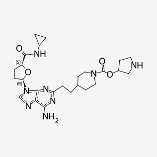 Nc1nc(CCC2CCN(C(=O)OC3CCNC3)CC2)nc2c1ncn2[C@H]1CC[C@@H](C(=O)NC2CC2)O1